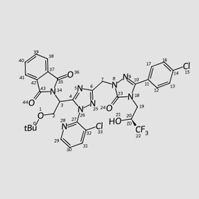 CC(C)(C)OCC(c1nc(Cn2nc(-c3ccc(Cl)cc3)n(C[C@H](O)C(F)(F)F)c2=O)nn1-c1ncccc1Cl)N1C(=O)c2ccccc2C1=O